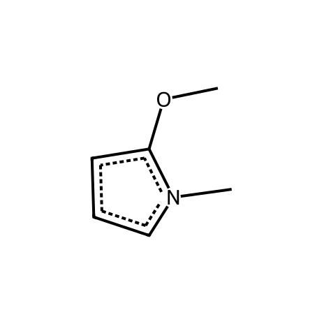 COc1cccn1C